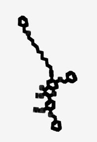 COc1cc(-c2oc3cc(OCc4ccccc4)c(C#CCCCCCCCCCCOCc4ccccc4)cc3c(=O)c2O)ccc1OCc1ccccc1